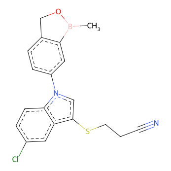 CB1OCc2ccc(-n3cc(SCCC#N)c4cc(Cl)ccc43)cc21